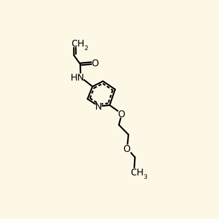 C=CC(=O)Nc1ccc(OCCOCC)nc1